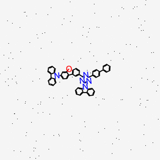 c1ccc(-c2ccc(-c3nc(-c4ccc5oc6cc(-n7c8ccccc8c8ccccc87)ccc6c5c4)nc(-n4c5ccccc5c5ccccc54)n3)cc2)cc1